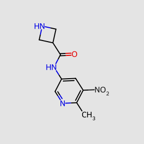 Cc1ncc(NC(=O)C2CNC2)cc1[N+](=O)[O-]